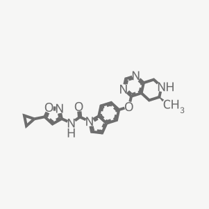 C[C@H]1Cc2c(ncnc2Oc2ccc3c(ccn3C(=O)Nc3cc(C4CC4)on3)c2)CN1